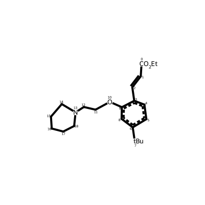 CCOC(=O)C=Cc1ccc(C(C)(C)C)cc1OCCN1CCCCC1